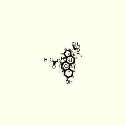 CC(=O)O[C@@H]1C[C@@H]2C[C@H](O)CC[C@]2(C)[C@H]2CC[C@]3(C)[C@@H](C(C)=O)CC[C@H]3[C@H]12